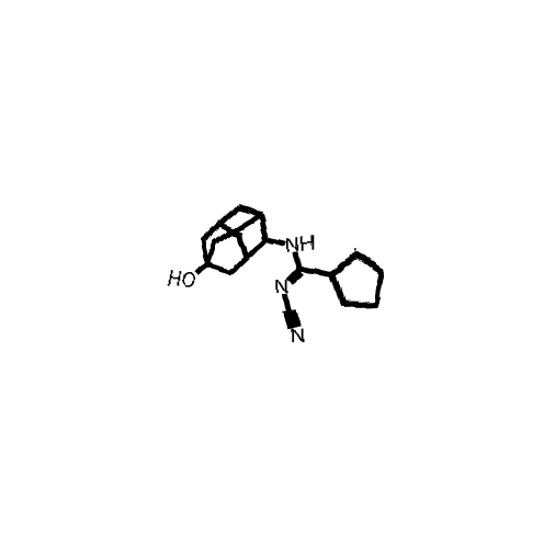 N#CN=C(NC1C2CC3CC1CC(O)(C3)C2)C1[CH]CCC1